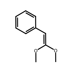 COC(=Cc1ccccc1)OC